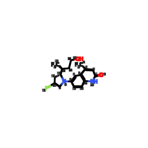 O=c1cc(C(F)(F)F)c2cc(N3C[C@@H](F)C[C@@H]3[C@H](CCO)C(F)(F)F)ccc2[nH]1